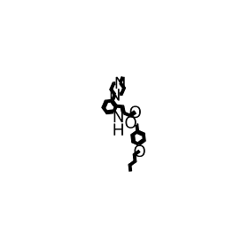 CCCCOc1ccc(COC(=O)c2cc3c(N4CCN(C)CC4)cccc3[nH]2)cc1